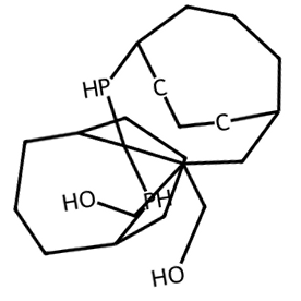 OCC1(CO)CC2CCCC(CCC2)PC12PC1CCCC2CCC1